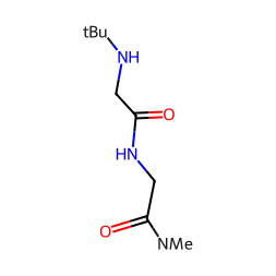 CNC(=O)CNC(=O)CNC(C)(C)C